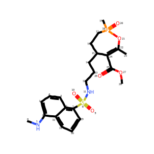 CNc1cccc2c(S(=O)(=O)NCCCC3CCP(C)(=O)OC(C)=C3C(=O)OC)cccc12